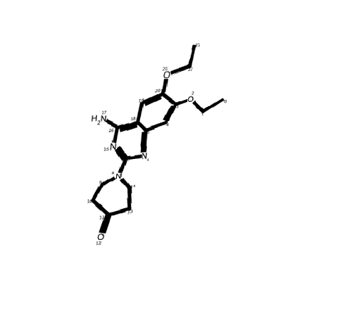 CCOc1cc2nc(N3CCC(=O)CC3)nc(N)c2cc1OCC